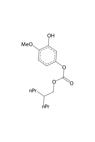 CCCC(CCC)COC(=O)Oc1ccc(OC)c(O)c1